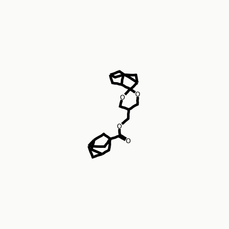 O=C(OCC1COC2(OC1)C1CC3CC(C1)C2C3)C12CC3CC(C1)C(C3)C2